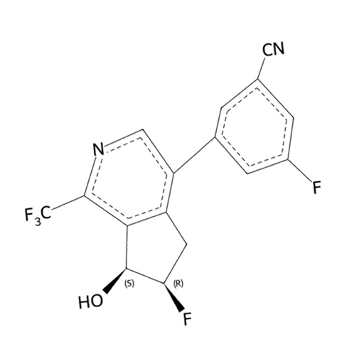 N#Cc1cc(F)cc(-c2cnc(C(F)(F)F)c3c2C[C@@H](F)[C@H]3O)c1